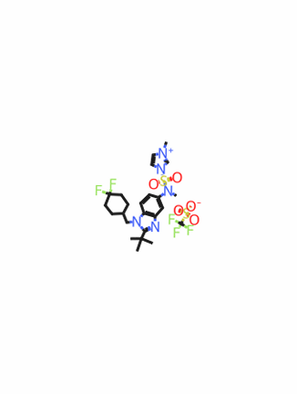 CN(c1ccc2c(c1)nc(C(C)(C)C)n2CC1CCC(F)(F)CC1)S(=O)(=O)n1cc[n+](C)c1.O=S(=O)([O-])C(F)(F)F